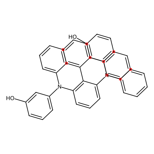 Oc1cccc(N(c2ccccc2)c2cccc(N(c3ccccc3)c3cccc(O)c3)c2-c2ccccc2-c2ccccc2)c1